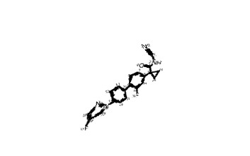 N#CNC(=O)C1(c2ccc(-c3ccc(-n4[c]c(F)cn4)cc3)c(F)c2)CC1